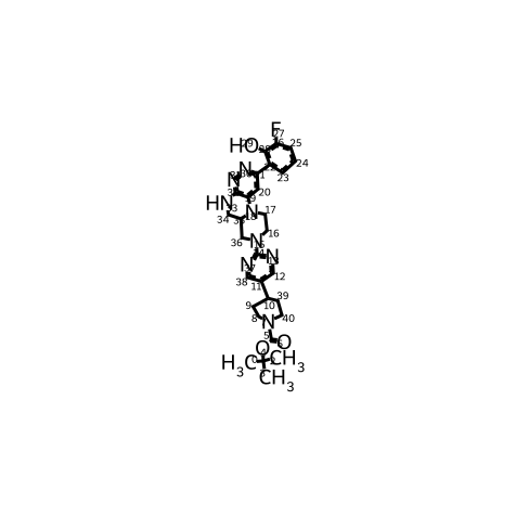 CC(C)(C)OC(=O)N1CCC(c2cnc(N3CCN4c5cc(-c6cccc(F)c6O)nnc5NCC4C3)nc2)CC1